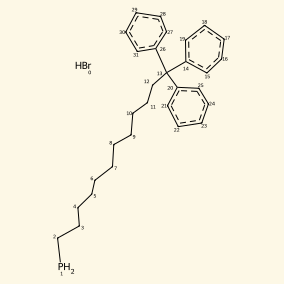 Br.PCCCCCCCCCCCC(c1ccccc1)(c1ccccc1)c1ccccc1